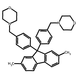 Cc1ccc2c(c1)C(c1ccc(CN3CCOCC3)cc1)(c1ccc(CN3CCOCC3)cc1)c1cc(C)ccc1-2